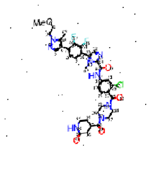 COCCn1ncc(-c2ccc(-c3cnc(C(=O)Nc4ccc(C(=O)N5CCN(C(=O)C6CCNC(=O)C6)CC5)c(Cl)c4)n3C)c(F)c2F)c1C